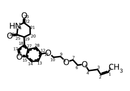 C/C=C\CCOCCOCCOc1ccc2occ(C3CCC(=O)NC3=O)c2c1